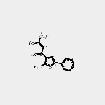 Cc1sc(-c2ccccc2)cc1C(=O)C=C(O)C(=O)O